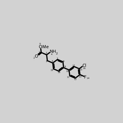 COC(=O)C(N)Cc1ccc(-c2ccc(F)c(Cl)c2)cc1